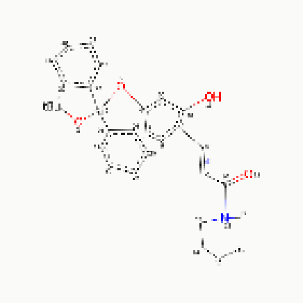 CC(C)(C)O[Si](Oc1ccc(/C=C/C(=O)N2CCCCC2)c(O)c1)(c1ccccc1)c1ccccc1